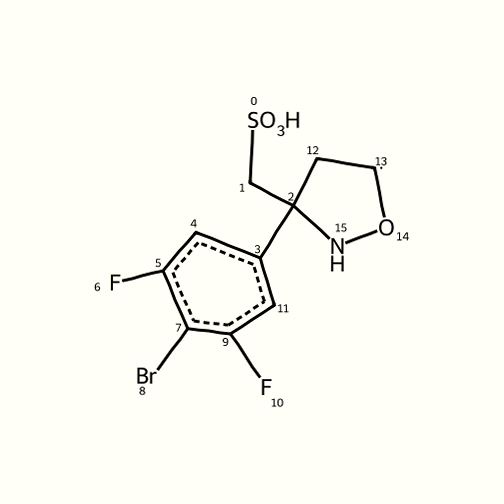 O=S(=O)(O)CC1(c2cc(F)c(Br)c(F)c2)C[CH]ON1